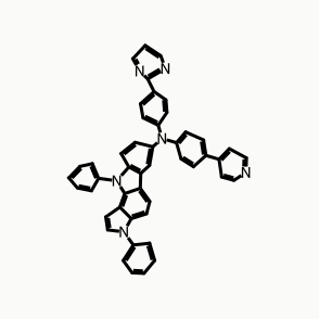 c1ccc(-n2ccc3c2ccc2c4cc(N(c5ccc(-c6ccncc6)cc5)c5ccc(-c6ncccn6)cc5)ccc4n(-c4ccccc4)c23)cc1